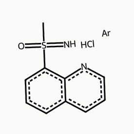 CS(=N)(=O)c1cccc2cccnc12.Cl.[Ar]